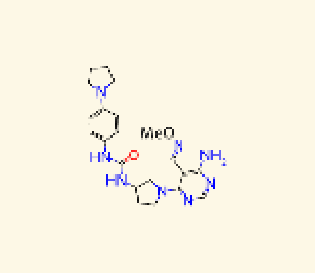 CON=Cc1c(N)ncnc1N1CCC(NC(=O)Nc2ccc(N3CCCC3)cc2)C1